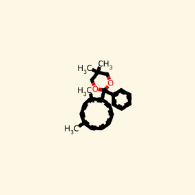 Cc1cccccc(C2(c3ccccc3)OCC(C)(C)CO2)c(C)cc1